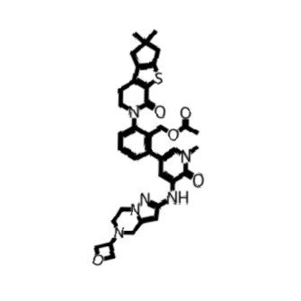 CC(=O)OCc1c(-c2cc(Nc3cc4n(n3)CCN(C3COC3)C4)c(=O)n(C)c2)cccc1N1CCc2c(sc3c2CC(C)(C)C3)C1=O